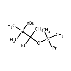 CCCC[Si](C)(C)C(C)(CC)O[Si](C)(C)C(C)C